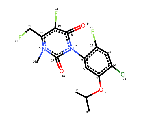 CC(C)Oc1cc(-n2c(=O)c(F)c(CF)n(C)c2=O)c(F)cc1Cl